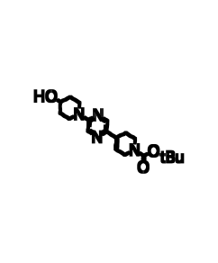 CC(C)(C)OC(=O)N1CC=C(c2cnc(N3CCC(O)CC3)cn2)CC1